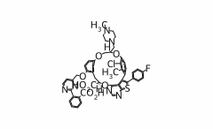 Cc1c2ccc(c1Cl)O[C@H](CN1CCN(C)CC1)COc1ccc(OCc3ccnc(-c4ccccc4C(=O)O)n3)c(c1)C[C@H](C(=O)O)Oc1ncnc3sc(-c4ccc(F)cc4)c-2c13